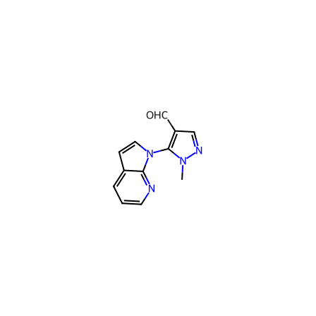 Cn1ncc(C=O)c1-n1ccc2cccnc21